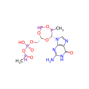 CP1OPO[C@@H](COP(=O)(O)O[PH](C)=O)O[C@H]1n1cnc2c(=O)[nH]c(N)nc21